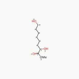 COC(=O)C(O)CCCCCCO